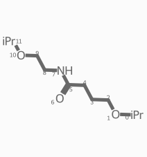 CC(C)OCCCC(=O)NCCOC(C)C